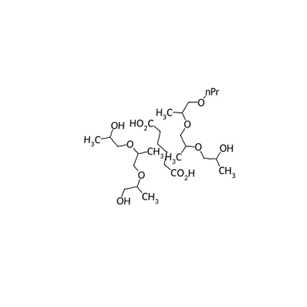 CC(O)COC(C)COC(C)CO.CCCOCC(C)OCC(C)OCC(C)O.O=C(O)CCCCC(=O)O